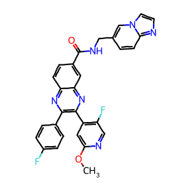 COc1cc(-c2nc3cc(C(=O)NCc4ccc5nccn5c4)ccc3nc2-c2ccc(F)cc2)c(F)cn1